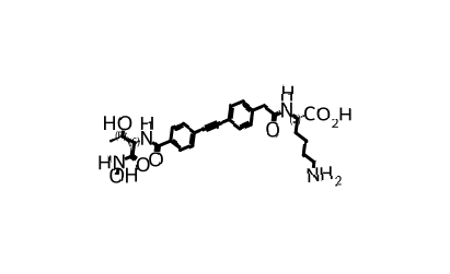 C[C@@H](O)[C@H](NC(=O)c1ccc(C#Cc2ccc(CC(=O)N[C@@H](CCCCN)C(=O)O)cc2)cc1)C(=O)NO